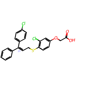 O=C(O)COc1ccc(SC/C=C(/c2ccccc2)c2ccc(Cl)cc2)c(Cl)c1